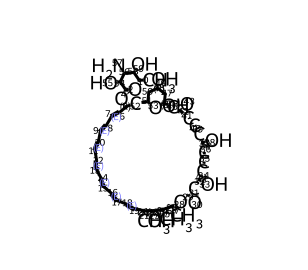 CC1OC(O[C@H]2/C=C/C=C/C=C/C=C/C=C/C=C/C=C/[C@H](C)[C@@H](O)[C@@H](C)[C@H](C)OC(=O)C[C@H](O)CCC[C@H](O)CCCC(=O)C[C@]3(O)C[C@H](O)CC(C2)O3)C(O)C(N)C1O